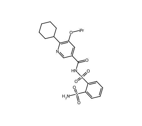 CC(C)Oc1cc(C(=O)NS(=O)(=O)c2ccccc2S(N)(=O)=O)cnc1C1CCCCC1